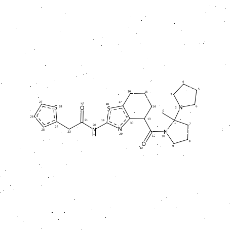 CC1(N2CCCC2)CCCN1C(=O)C1CCCc2sc(NC(=O)Cc3cccs3)nc21